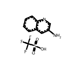 Nc1cnc2ccccc2c1.O=S(=O)(O)C(F)(F)F